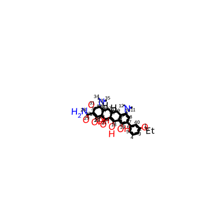 CCOc1cccc(-c2cc(N(C)C)c3c(c2O)C(O)=C2C(=O)[C@]4(O)C(O)=C(C(N)=O)C(=O)[C@@H](N(C)C)[C@@H]4C[C@@H]2C3)c1